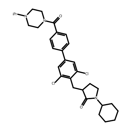 CC(C)N1CCN(C(=O)c2ccc(-c3cc(Cl)c(CC4CCN(C5CCCCC5)C4=O)c(Cl)c3)cc2)CC1